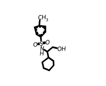 Cc1ccc(S(=O)(=O)NC(CO)C2CCCCC2)cc1